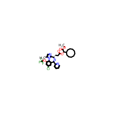 COC(=O)C(OC(=O)CC[C@@H]1N=C(c2ccccn2)c2cc(Cl)cc(OC(F)(F)F)c2-n2c(C)cnc21)C1CCCCCCCCC1